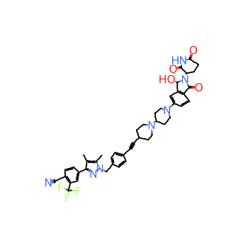 Cc1c(-c2ccc(C#N)c(C(F)(F)F)c2)nn(Cc2ccc(C#CC3CCN(C4CCN(c5ccc6c(c5)C(O)N(C5CCC(=O)NC5=O)C6=O)CC4)CC3)cc2)c1C